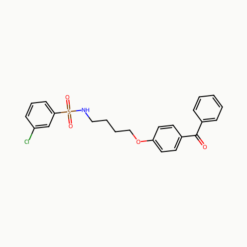 O=C(c1ccccc1)c1ccc(OCCCCNS(=O)(=O)c2cccc(Cl)c2)cc1